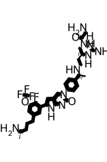 C[C@H](N)CCCc1cc(OC(F)(F)F)c(F)c(-c2cc3cn(-c4ccc([C@H](C)NCC[C@@H](CNC(=O)CN)NC(=N)N)cc4)c(=O)nc3[nH]2)c1